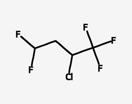 FC(F)CC(Cl)C(F)(F)F